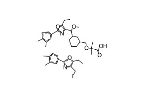 CCc1oc(-c2ccc(C)c(C)c2)nc1C(OC)[C@@H]1CCC[C@H](COC(C)(C)C(=O)O)C1.CCc1oc(-c2ccc(C)c(C)c2)nc1CI